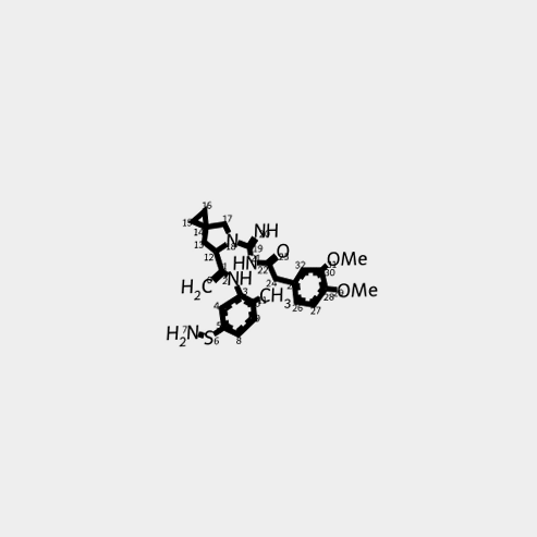 C=C(Nc1cc(SN)ccc1C)C1CC2(CC2)CN1C(=N)NC(=O)Cc1ccc(OC)c(OC)c1